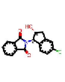 O=C1c2ccccc2C(=O)N1[C@@H]1c2ccc(Cl)cc2C[C@H]1O